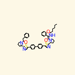 CCCCCC(=O)N[C@H](C(=O)N1CCCC1c1ncc(-c2ccc(-c3ccc(-c4cnc([C@@H]5CCCN5C(=O)Cc5ccccc5)s4)cc3)cc2)s1)c1ccccc1